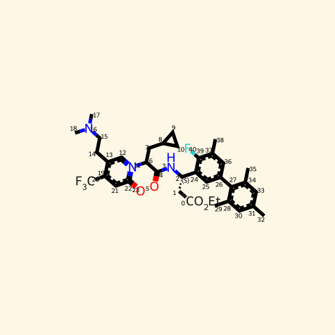 CCOC(=O)C[C@H](NC(=O)C(CC1CC1)n1cc(CCN(C)C)c(C(F)(F)F)cc1=O)c1cc(-c2c(C)cc(C)cc2C)cc(C)c1F